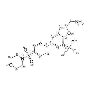 NCc1cc2cc(-c3ccc(S(=O)(=O)N4CCOCC4)cc3)cc(C(F)(F)F)c2o1